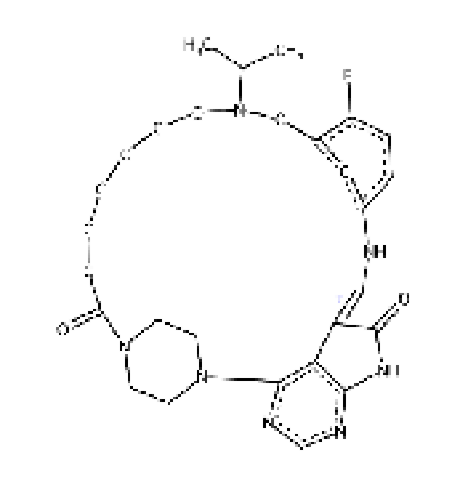 CC(C)N1CCCCCCC(=O)N2CCN(CC2)c2ncnc3c2/C(=C/Nc2ccc(F)c(c2)C1)C(=O)N3